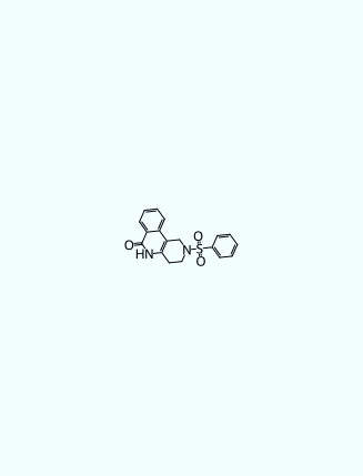 O=c1[nH]c2c(c3ccccc13)CN(S(=O)(=O)c1ccccc1)CC2